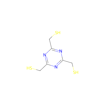 SCc1nc(CS)nc(CS)n1